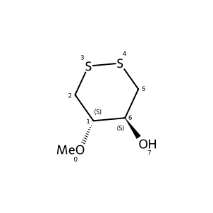 CO[C@@H]1CSSC[C@H]1O